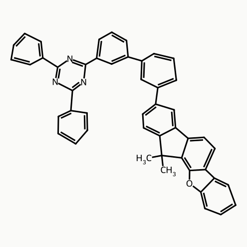 CC1(C)c2ccc(-c3cccc(-c4cccc(-c5nc(-c6ccccc6)nc(-c6ccccc6)n5)c4)c3)cc2-c2ccc3c(oc4ccccc43)c21